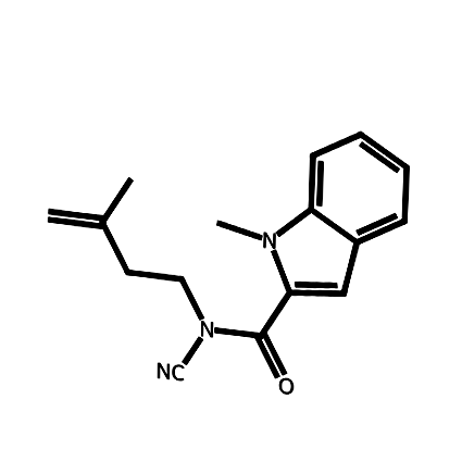 C=C(C)CCN(C#N)C(=O)c1cc2ccccc2n1C